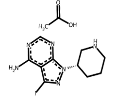 CC(=O)O.Nc1ncnc2c1c(I)nn2[C@H]1CCCNC1